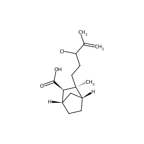 C=C(C)C(Cl)CC[C@@]1(C)[C@@H]2CC[C@@H](C2)[C@H]1C(=O)O